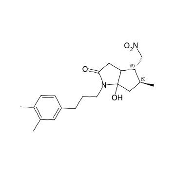 Cc1ccc(CCCN2C(=O)CC3[C@H](C[N+](=O)[O-])[C@@H](C)CC32O)cc1C